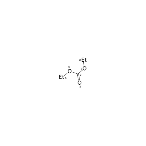 [CH2]COC(=O)OCC